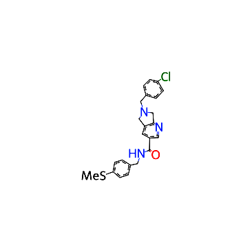 CSc1ccc(CNC(=O)c2cnc3c(c2)CN(Cc2ccc(Cl)cc2)C3)cc1